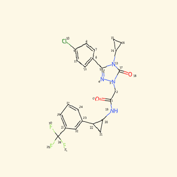 O=C(Cn1nc(-c2ccc(Cl)cc2)n(C2CC2)c1=O)NC1CC1c1cccc(C(F)(F)F)c1